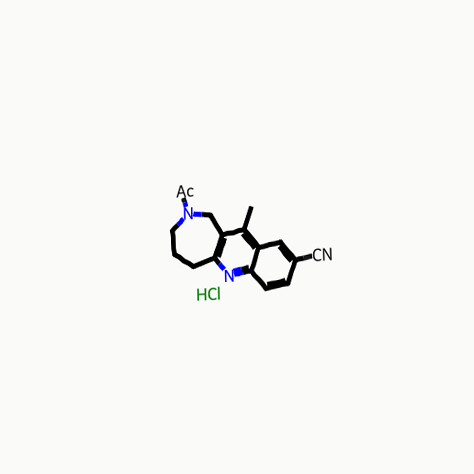 CC(=O)N1CCCc2nc3ccc(C#N)cc3c(C)c2C1.Cl